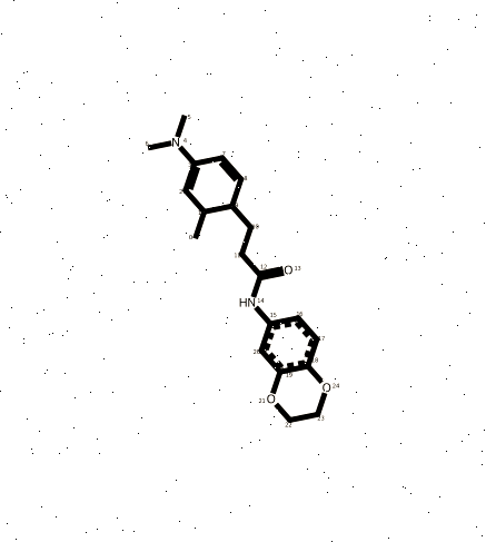 CC1C=C(N(C)C)C=CC1CCC(=O)Nc1ccc2c(c1)OCCO2